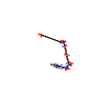 CN[C@@H](CCCCNC(=O)CC[C@H](NC(=O)CC[C@H](NC(=O)COCCOCCNC(=O)COCCOCCNC(=O)CC[C@H](NC(=O)CCCCCCCCCCCCCCCCCCC(=O)O)C(=O)O)C(=O)O)C(=O)O)C(C)=O